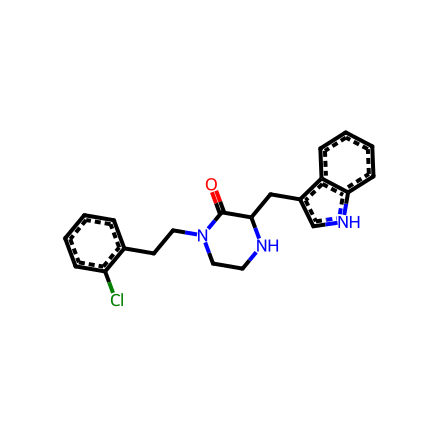 O=C1C(Cc2c[nH]c3ccccc23)NCCN1CCc1ccccc1Cl